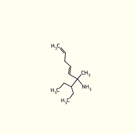 C=CCC=CC(C)(N)C(CC)CC